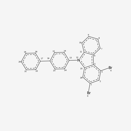 Brc1cc(Br)c2c3ccccc3n(-c3ccc(-c4ccccc4)cc3)c2c1